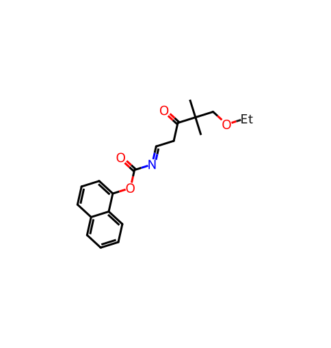 CCOCC(C)(C)C(=O)CC=NC(=O)Oc1cccc2ccccc12